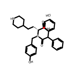 Cl.NC(=O)[C@@H](CCC1CCNCC1)N(Cc1ccc(O)cc1)C(=O)C(c1ccccc1)c1ccccc1